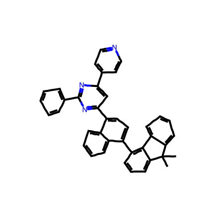 CC1(C)c2ccccc2-c2c(-c3ccc(-c4cc(-c5ccncc5)nc(-c5ccccc5)n4)c4ccccc34)cccc21